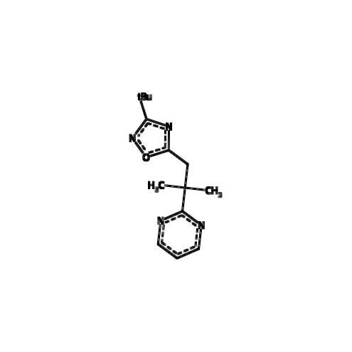 CC(C)(C)c1noc(CC(C)(C)c2ncccn2)n1